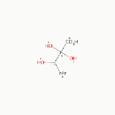 CCCC(O)C(O)(O)C(=O)O